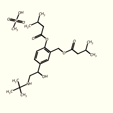 CC(C)CC(=O)OCc1cc(C(O)CNC(C)(C)C)ccc1OC(=O)CC(C)C.CS(=O)(=O)O